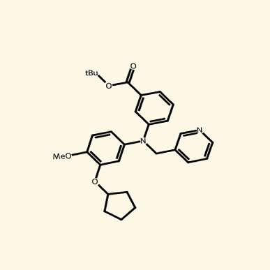 COc1ccc(N(Cc2cccnc2)c2cccc(C(=O)OC(C)(C)C)c2)cc1OC1CCCC1